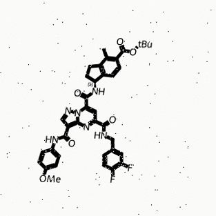 COc1ccc(NC(=O)c2cnn3c(C(=O)N[C@H]4CCc5c4ccc(C(=O)OC(C)(C)C)c5C)cc(C(=O)NCc4ccc(F)c(F)c4)nc23)cc1